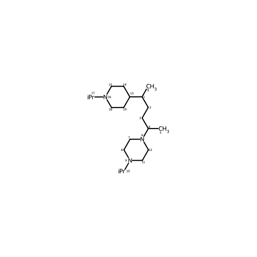 CC(CCC(C)N1CCN(C(C)C)CC1)C1CCN(C(C)C)CC1